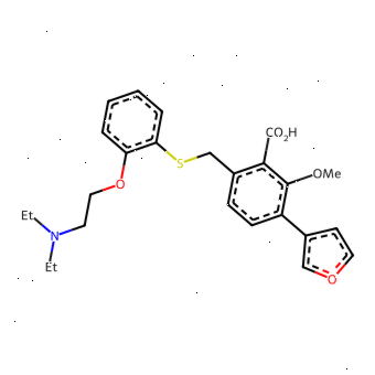 CCN(CC)CCOc1ccccc1SCc1ccc(-c2ccoc2)c(OC)c1C(=O)O